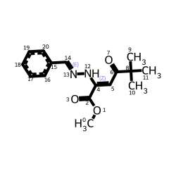 COC(=O)/C(=C/C(=O)C(C)(C)C)N/N=C/c1ccccc1